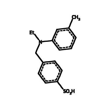 CCN(Cc1ccc(S(=O)(=O)O)cc1)c1cccc(C)c1